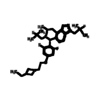 CCC1CN(CCOc2cc(F)c([C@@H]3c4ccc5c(cnn5CC(C)(C)F)c4CC(C)N3CC(C)(C)F)c(F)c2)C1